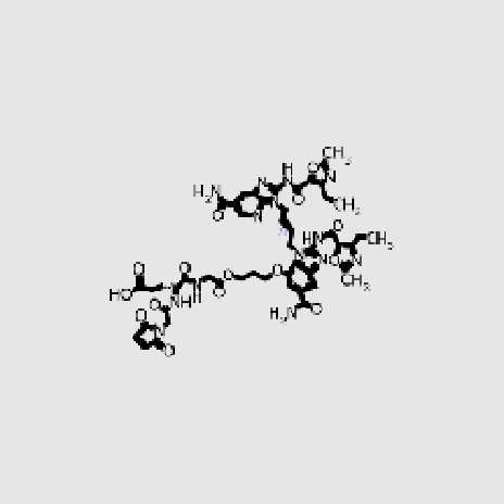 CCc1nc(C)oc1C(=O)Nc1nc2cc(C(N)=O)cnc2n1C/C=C/Cn1c(NC(=O)c2oc(C)nc2CC)nc2cc(C(N)=O)cc(OCCCOC(=O)CNC(=O)[C@@H](CCC(=O)O)NC(=O)CN3C(=O)C=CC3=O)c21